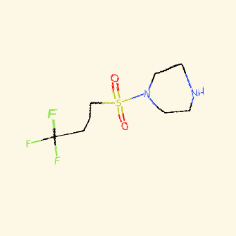 O=S(=O)(CCC(F)(F)F)N1CCNCC1